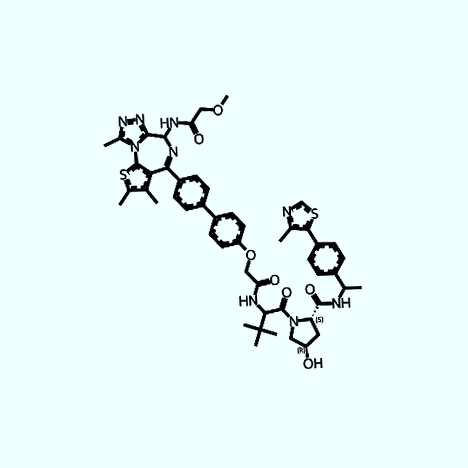 COCC(=O)NC1N=C(c2ccc(-c3ccc(OCC(=O)NC(C(=O)N4C[C@H](O)C[C@H]4C(=O)NC(C)c4ccc(-c5scnc5C)cc4)C(C)(C)C)cc3)cc2)c2c(sc(C)c2C)-n2c(C)nnc21